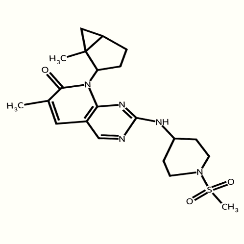 Cc1cc2cnc(NC3CCN(S(C)(=O)=O)CC3)nc2n(C2CCC3CC32C)c1=O